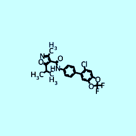 Cc1noc(C(C)C)c1C(=O)Nc1ccc(-c2cc3c(cc2Cl)OC(F)(F)O3)cc1